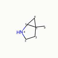 CC12CCN[C]1C2